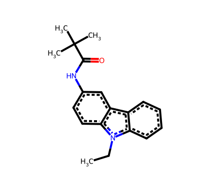 CCn1c2ccccc2c2cc(NC(=O)C(C)(C)C)ccc21